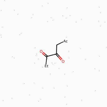 [CH2]CC(=O)C(=O)CC(C)=O